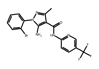 Cc1nn(-c2ccccc2Br)c(N)c1C(=O)Nc1ccc(C(F)(F)F)cn1